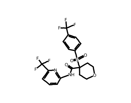 O=C(Nc1cccc(C(F)(F)F)n1)C1(S(=O)(=O)c2ccc(C(F)(F)F)cc2)CCOCC1